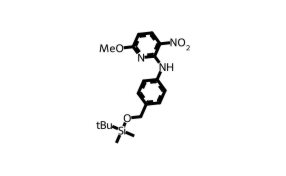 COc1ccc([N+](=O)[O-])c(Nc2ccc(CO[Si](C)(C)C(C)(C)C)cc2)n1